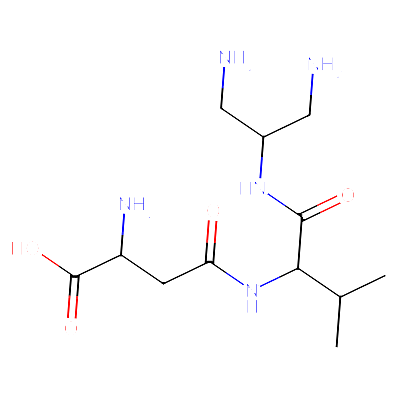 CC(C)C(NC(=O)CC(N)C(=O)O)C(=O)NC(CN)CN